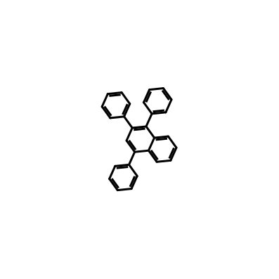 c1ccc(-c2cc(-c3ccccc3)c3ccccc3c2-c2ccccc2)cc1